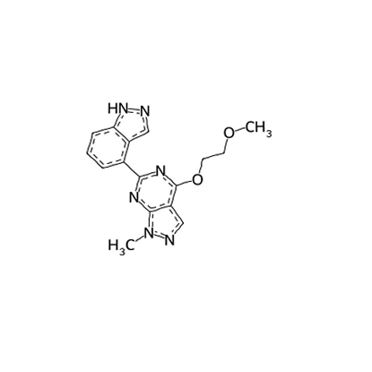 COCCOc1nc(-c2cccc3[nH]ncc23)nc2c1cnn2C